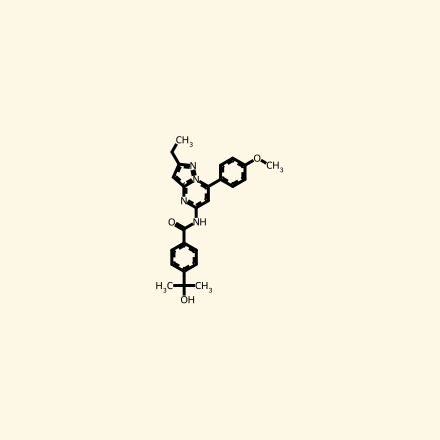 CCc1cc2nc(NC(=O)c3ccc(C(C)(C)O)cc3)cc(-c3ccc(OC)cc3)n2n1